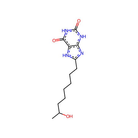 CC(O)CCCCCCc1nc2[nH]c(=O)[nH]c(=O)c2[nH]1